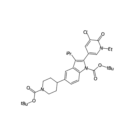 CCn1cc(-c2c(C(C)C)c3cc(C4CCN(C(=O)OC(C)(C)C)CC4)ccc3n2C(=O)OC(C)(C)C)cc(Cl)c1=O